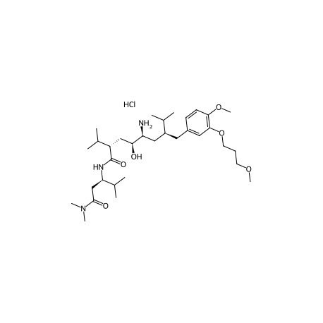 COCCCOc1cc(C[C@@H](C[C@H](N)[C@@H](O)C[C@H](C(=O)N[C@H](CC(=O)N(C)C)C(C)C)C(C)C)C(C)C)ccc1OC.Cl